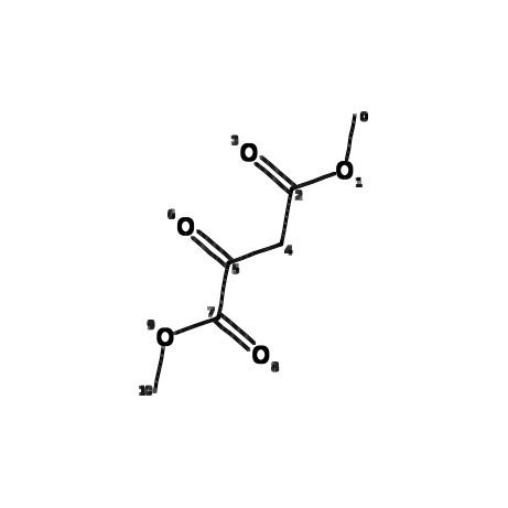 COC(=O)CC(=O)C(=O)OC